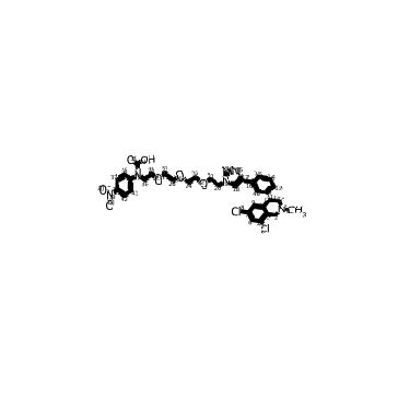 CN1Cc2c(Cl)cc(Cl)cc2[C@H](c2cccc(-c3cn(CCOCCOCCOCCN(C(=O)O)c4ccc([N+](=O)[O-])cc4)nn3)c2)C1